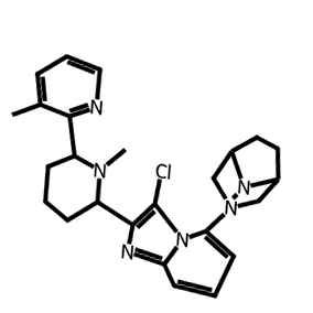 Cc1cccnc1C1CCCC(c2nc3cccc(N4CC5CCC(C4)N5C)n3c2Cl)N1C